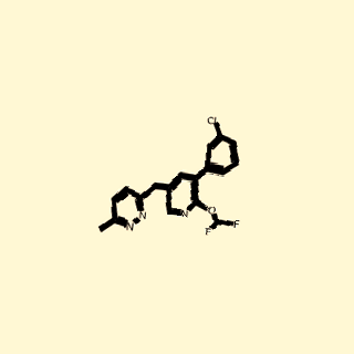 Cc1ccc(Cc2cnc(OC(F)F)c(-c3cccc(Cl)c3)c2)nn1